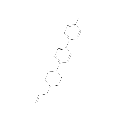 C=CCC1CCC(c2ccc(-c3ccc(Br)cc3)cc2)CC1